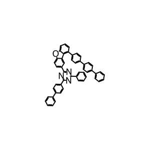 c1ccc(-c2ccc(-c3ccc(-c4cccc5oc6ccc(-c7nc(-c8ccccc8)nc(-c8ccc(-c9ccccc9)cc8)n7)cc6c45)cc3)cc2)cc1